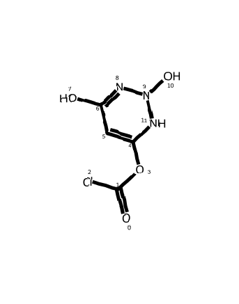 O=C(Cl)OC1=CC(O)=NN(O)N1